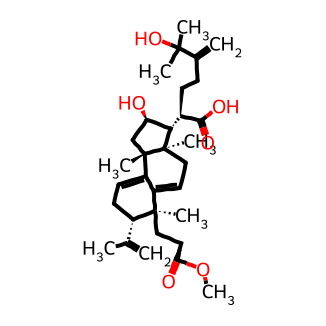 C=C(C)[C@@H]1CC=C2C(=CC[C@]3(C)[C@@H]([C@@H](CCC(=C)C(C)(C)O)C(=O)O)[C@H](O)C[C@@]23C)[C@@]1(C)CCC(=O)OC